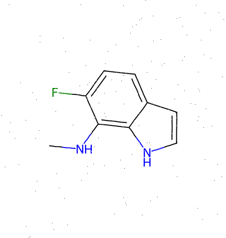 CNc1c(F)ccc2cc[nH]c12